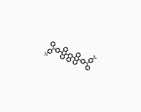 C=[Si](C)c1ccc(N(c2ccccc2)c2ccc(-c3c4ccccc4c(-c4ccc(-c5c6ccccc6c(-c6ccc(N(c7ccccc7)c7ccc([Si](C)(C)C)cc7)cc6)c6ccccc56)c5ccccc45)c4ccccc34)cc2)cc1